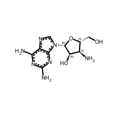 Nc1nc(N)c2ncn([C@@H]3O[C@H](CO)[C@@H](N)[C@H]3O)c2n1